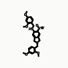 COc1ccc(CNc2cc3c(cc2[N+](=O)[O-])CN(Cc2ccc(OC)cc2OC)C3)c(OC)c1